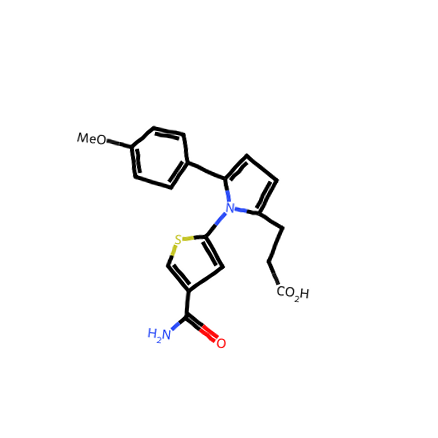 COc1ccc(-c2ccc(CCC(=O)O)n2-c2cc(C(N)=O)cs2)cc1